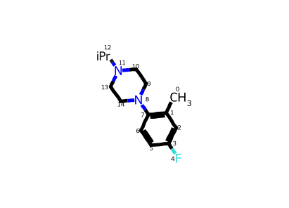 Cc1cc(F)ccc1N1CCN(C(C)C)CC1